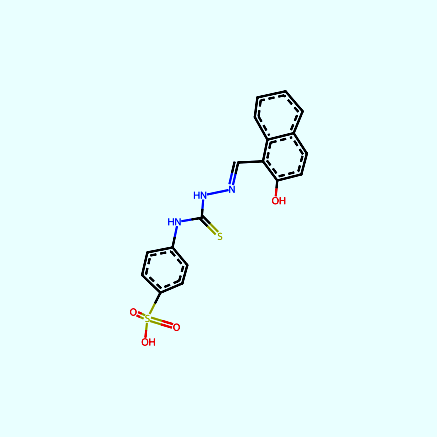 O=S(=O)(O)c1ccc(NC(=S)NN=Cc2c(O)ccc3ccccc23)cc1